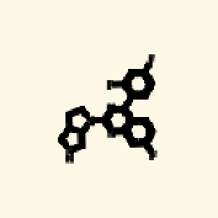 Fc1ccc(-c2nc(N3CCC4CNC=C43)nc3cc(F)ccc23)c(F)c1